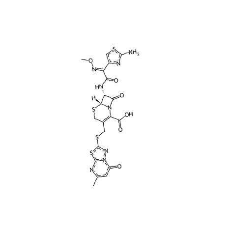 CON=C(C(=O)N[C@@H]1C(=O)N2C(C(=O)O)=C(CSc3nn4c(=O)cc(C)nc4s3)CS[C@H]12)c1csc(N)n1